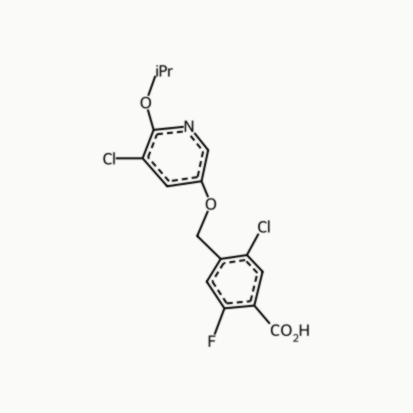 CC(C)Oc1ncc(OCc2cc(F)c(C(=O)O)cc2Cl)cc1Cl